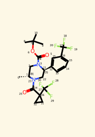 C[C@@H]1CN(C(=O)OC(C)(C)C)[C@@H](c2cccc(C(F)(F)F)c2)CN1C(=O)C1(C(F)(F)F)CC1